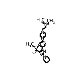 CCOC(=O)c1sc(N2CCCCC2)nc1-c1cnc(N2CCN(CCN(CC)CC)CC2)cn1